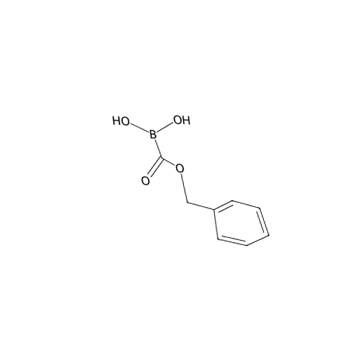 O=C(OCc1ccccc1)B(O)O